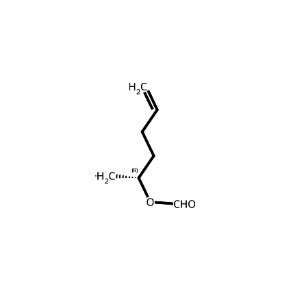 [CH2][C@H](CCC=C)OC=O